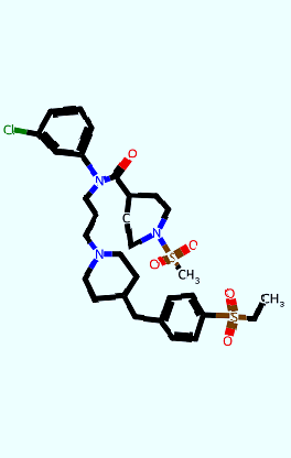 CCS(=O)(=O)c1ccc(CC2CCN(CCCN(C(=O)C3CCN(S(C)(=O)=O)CC3)c3cccc(Cl)c3)CC2)cc1